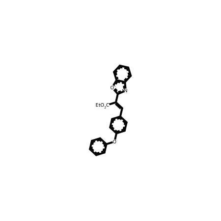 CCOC(=O)C(=Cc1ccc(Oc2ccccc2)cc1)c1nc2ccccc2o1